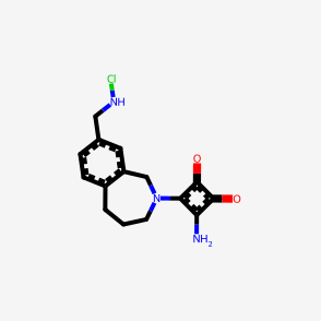 Nc1c(N2CCCc3ccc(CNCl)cc3C2)c(=O)c1=O